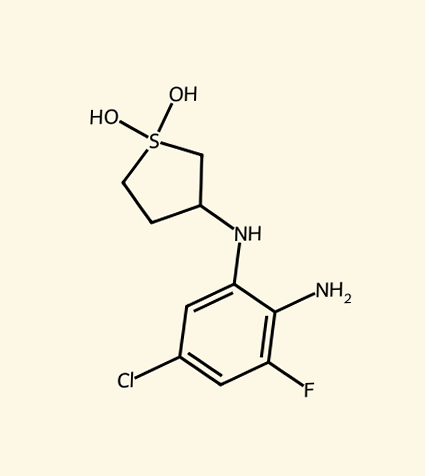 Nc1c(F)cc(Cl)cc1NC1CCS(O)(O)C1